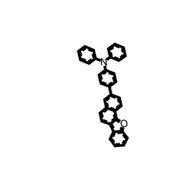 c1ccc(N(c2ccccc2)c2ccc(-c3ccc4c(ccc5c6ccccc6oc45)c3)cc2)cc1